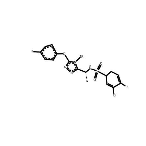 CCn1c(Oc2ccc(F)cc2)nnc1[C@@H](C)NS(=O)(=O)C1C=C(Cl)C(Cl)=CC1